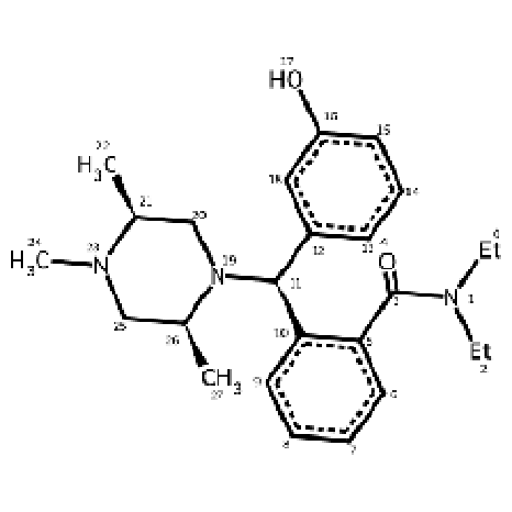 CCN(CC)C(=O)c1ccccc1[C@H](c1cccc(O)c1)N1C[C@H](C)N(C)C[C@@H]1C